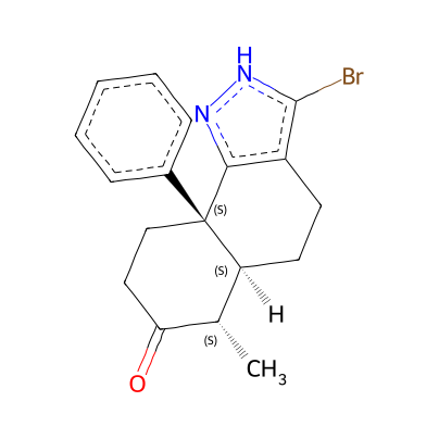 C[C@@H]1C(=O)CC[C@]2(c3ccccc3)c3n[nH]c(Br)c3CC[C@@H]12